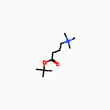 CC(C)(C)OC(=O)CCC[N+](C)(C)C